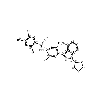 Nc1ncnc2c1c(-c1ccc(N[S+]([O-])c3cc(F)c(Br)cc3F)c(F)c1)cn2C1CCCC1